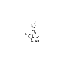 Cn1cnc(C(C)(C)Oc2cc(F)cc3nc[nH]c(=O)c23)n1